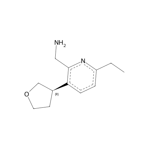 CCc1ccc([C@H]2CCOC2)c(CN)n1